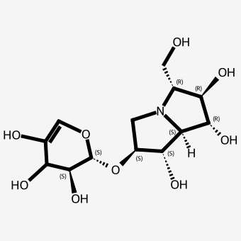 OC[C@@H]1[C@@H](O)[C@H](O)[C@H]2[C@H](O)[C@@H](O[C@H]3OC=C(O)C(O)[C@@H]3O)CN21